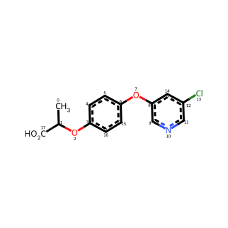 CC(Oc1ccc(Oc2cncc(Cl)c2)cc1)C(=O)O